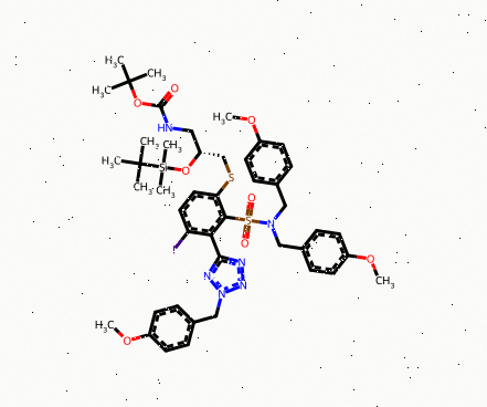 COc1ccc(CN(Cc2ccc(OC)cc2)S(=O)(=O)c2c(SC[C@@H](CNC(=O)OC(C)(C)C)O[Si](C)(C)C(C)(C)C)ccc(I)c2-c2nnn(Cc3ccc(OC)cc3)n2)cc1